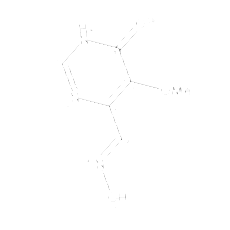 COc1c(/C=N/O)nc[nH]c1=O